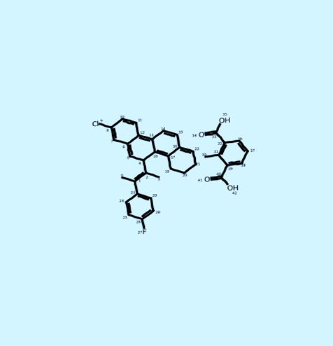 C/C(=C(/C)C1C=c2cc(Cl)ccc2=c2ccc3c(c21)CCCC=3)c1ccc(F)cc1.Cc1c(C(=O)O)cccc1C(=O)O